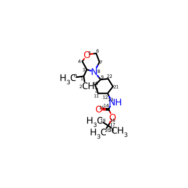 CC(C)C1COCCN1C1CCC(NC(=O)OC(C)(C)C)CC1